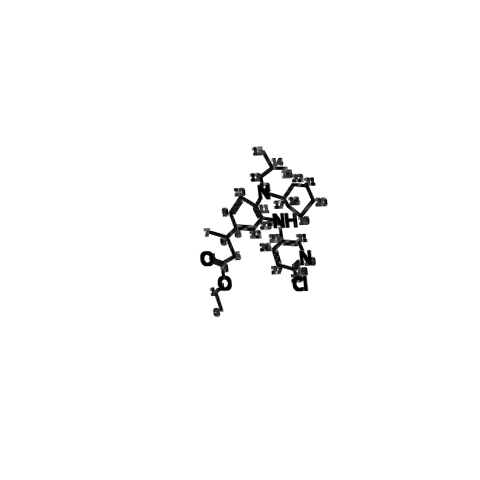 CCOC(=O)CC(C)c1ccc(N(CC(C)C)C2CCCCC2)c(Nc2ccc(Cl)nc2)c1